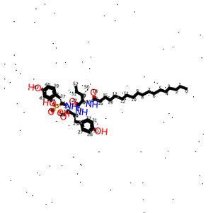 CCCCCCCCCCCCCCCCCC(=O)N[C@H](C(=O)N[C@@H](Cc1ccc(O)cc1)C(=O)N[C@@H](Cc1ccc(O)cc1)P(=O)(O)O)[C@@H](C)CC